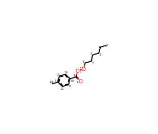 [CH2]CCCC[CH]OOC(=O)c1ccc(C)cc1